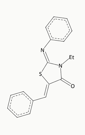 CCN1C(=O)/C(=C/c2ccccc2)S/C1=N/c1ccccc1